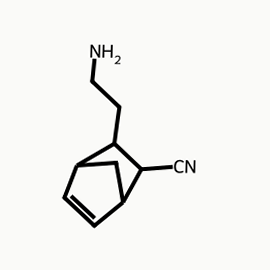 N#CC1C2C=CC(C2)C1CCN